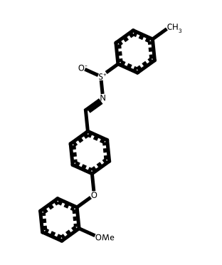 COc1ccccc1Oc1ccc(C=N[S+]([O-])c2ccc(C)cc2)cc1